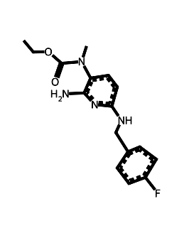 CCOC(=O)N(C)c1ccc(NCc2ccc(F)cc2)nc1N